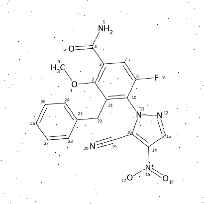 COc1c(C(N)=O)cc(F)c(-n2ncc([N+](=O)[O-])c2C#N)c1Cc1ccccc1